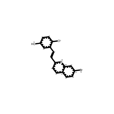 Oc1ccc(Cl)c(C=Cc2ccc3ccc(Br)cc3n2)c1